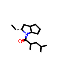 CC[C@@H]1CC2CCCC2N1C(=O)C(C)CC(C)C